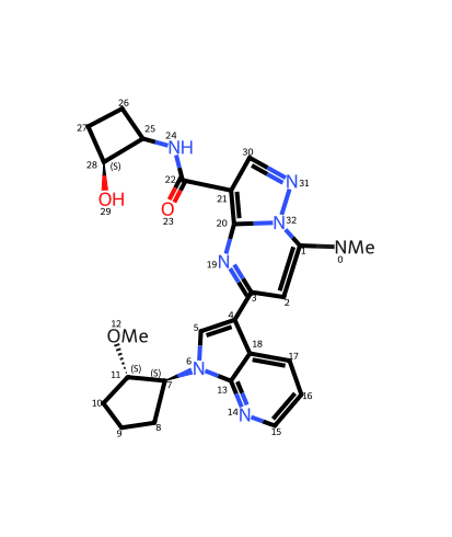 CNc1cc(-c2cn([C@H]3CCC[C@@H]3OC)c3ncccc23)nc2c(C(=O)NC3CC[C@@H]3O)cnn12